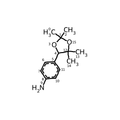 CC1(C)OC(c2ccc(N)cc2)C(C)(C)O1